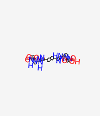 COC(=O)N[C@H](C(=O)N1CCCC1c1nc2ncc(-c3ccc4cc(-c5cnc6nc([C@@H]7CCCN7C(=O)[C@H](C(C)C)N(C)C(=O)O)[nH]c6c5)ccc4c3)cc2[nH]1)C(C)C